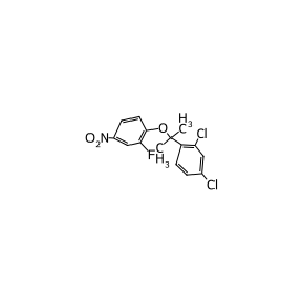 CC(C)(Oc1ccc([N+](=O)[O-])cc1F)c1ccc(Cl)cc1Cl